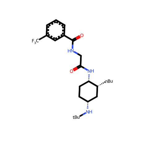 CCCC[C@@H]1C[C@H](NC(C)(C)C)CC[C@@H]1NC(=O)CNC(=O)c1cccc(C(F)(F)F)c1